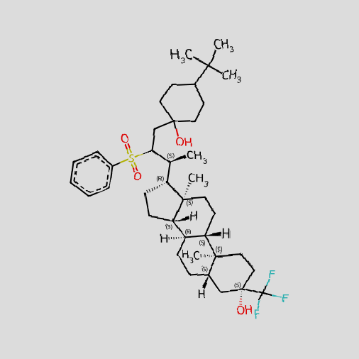 C[C@H](C(CC1(O)CCC(C(C)(C)C)CC1)S(=O)(=O)c1ccccc1)[C@H]1CC[C@H]2[C@@H]3CC[C@H]4C[C@](O)(C(F)(F)F)CC[C@]4(C)[C@H]3CC[C@]12C